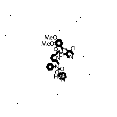 COc1ccc([C@H](Cc2c(Cl)cncc2Cl)OC(=O)c2cccc(CN(C(=O)O[C@H]3CN4CCC3CC4)c3ccccc3)n2)cc1OC